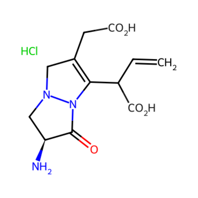 C=CC(C(=O)O)C1=C(CC(=O)O)CN2C[C@H](N)C(=O)N12.Cl